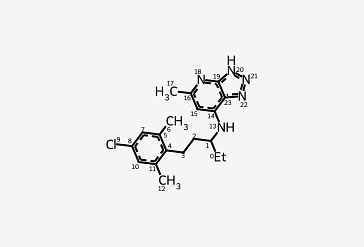 CCC(CCc1c(C)cc(Cl)cc1C)Nc1cc(C)nc2[nH]nnc12